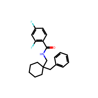 O=C(NCC1(Cc2ccccc2)CCCCC1)c1ccc(F)cc1F